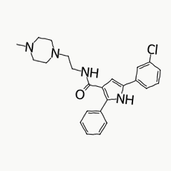 CN1CCN(CCNC(=O)c2cc(-c3cccc(Cl)c3)[nH]c2-c2ccccc2)CC1